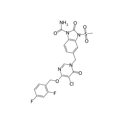 CS(=O)(=O)n1c(=O)n(C(N)=O)c2ccc(Cn3cnc(OCc4ccc(F)cc4F)c(Cl)c3=O)cc21